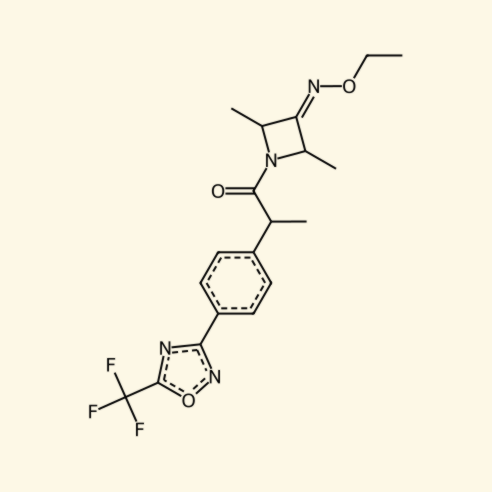 CCON=C1C(C)N(C(=O)C(C)c2ccc(-c3noc(C(F)(F)F)n3)cc2)C1C